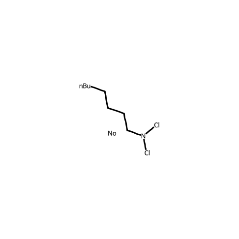 CCCCCCCCN(Cl)Cl.[No]